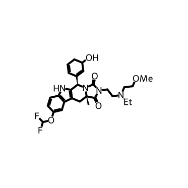 CCN(CCOC)CCN1C(=O)N2[C@H](C3=CC(O)CC=C3)c3[nH]c4ccc(OC(F)F)cc4c3C[C@@]2(C)C1=O